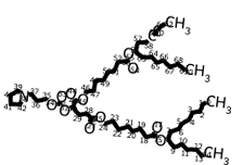 CCCCCCCCC(CCCCCC)OC(=O)CCCCCCCOC(=O)CCC(OC(=O)OCCCN1CCCC1)C(=O)OCCCCCCCC(=O)OC(CCCCCC)CCCCCCCC